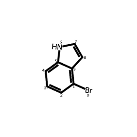 Brc1c[c]cc2[nH]ccc12